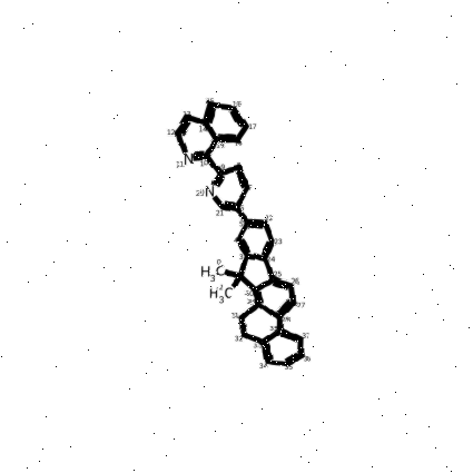 CC1(C)c2cc(-c3ccc(-c4nccc5ccccc45)nc3)ccc2-c2ccc3c(c21)CCc1ccccc1-3